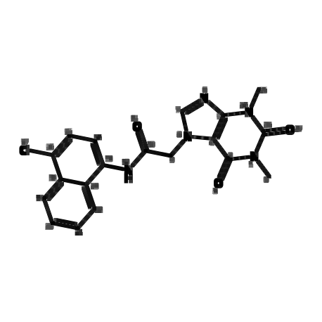 Cn1c(=O)c2c(ncn2CC(=O)Nc2ccc(Cl)c3ccccc23)n(C)c1=O